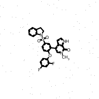 Cn1cc(-c2cc(S(=O)(=O)N3CCc4ccccc43)ccc2Oc2ccc(F)cc2F)c2cc[nH]c2c1=O